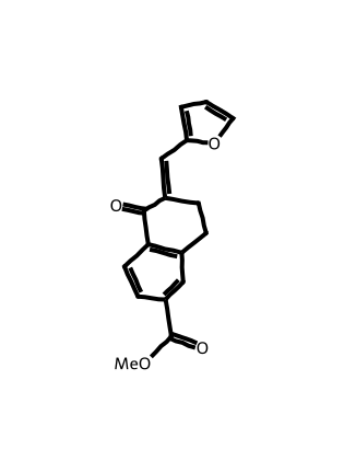 COC(=O)c1ccc2c(c1)CCC(=Cc1ccco1)C2=O